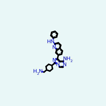 NCC1CCC(c2nc(-c3ccc4ccc(Nc5ccccc5)nc4c3)c3c(N)nccn23)CC1